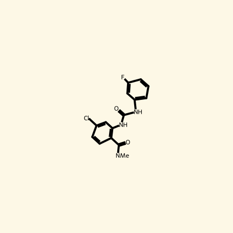 CNC(=O)c1ccc(Cl)cc1NC(=O)Nc1cccc(F)c1